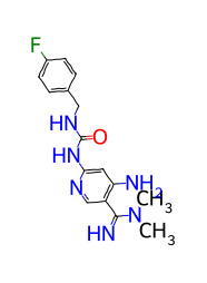 CN(C)C(=N)c1cnc(NC(=O)NCc2ccc(F)cc2)cc1N